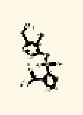 CCc1noc(NS(=O)(=O)c2ccsc2C(=O)O)c1Br